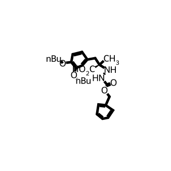 CCCCOc1ccc(C[C@](C)(NNC(=O)OCc2ccccc2)C(=O)O)cc1OCCCC